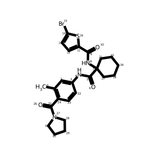 Cc1cc(NC(=O)C2(NC(=O)c3ccc(Br)s3)CCCCC2)ccc1C(=O)N1CCCC1